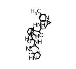 Cc1cncc(N[C@@H](CC2CC2)C(=O)N2[C@H]3CC[C@@H]([C@H]2C(=O)N[C@H](C#N)C[C@H]2CCNC2=O)C(F)(F)C3)c1